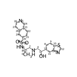 C[C@H](CNCC(O)c1ccc2scnc2c1)NS(=O)(=O)c1ccc2cnccc2c1